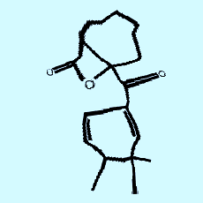 CC1C=CC(C(=O)C23CCCCC2C(=O)O3)=CC1(C)C